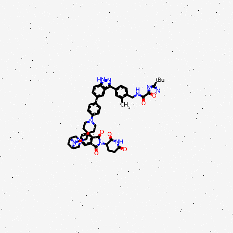 Cc1cc(-c2n[nH]c3ccc(-c4ccc(N5CCC(CN6CC7CC(C6)N7c6ccc7c(c6)C(=O)N(C6CCC(=O)NC6=O)C7=O)CC5)cc4)cc23)ccc1CNC(=O)c1nc(C(C)(C)C)no1